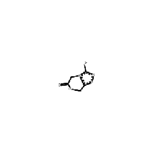 CC(C)c1nnc2n1CC(=O)NC2